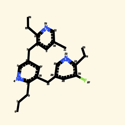 CCCc1ncc(Cc2cc(C)cnc2CC)cc1Cc1cnc(CC)c(F)c1